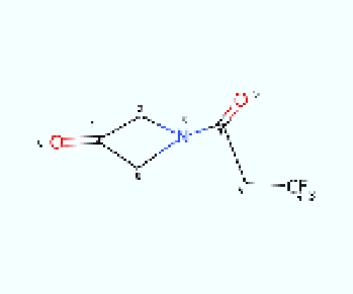 O=C1CN(C(=O)CC(F)(F)F)C1